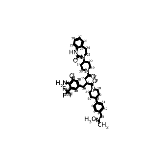 CN(C)Cc1ccc(C2CCN(C(=O)[C@H](CC(=O)N3CCC(N4CCc5ccccc5NC4=O)CC3)Cc3cc(Cl)c(N)c(C(F)(F)F)c3)CC2)cc1